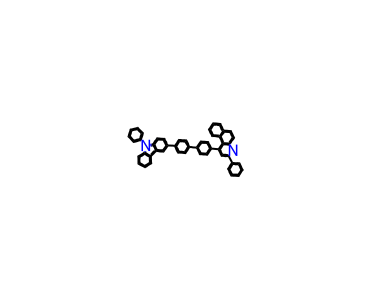 c1ccc(-c2cc(-c3ccc(-c4ccc(-c5ccc6c(c5)c5ccccc5n6-c5ccccc5)cc4)cc3)c3c(ccc4ccccc43)n2)cc1